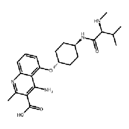 CN[C@H](C(=O)N[C@H]1CC[C@H](Oc2cccc3nc(C)c(C(=O)O)c(N)c23)CC1)C(C)C